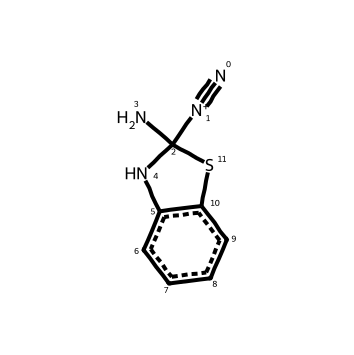 N#[N+]C1(N)Nc2ccccc2S1